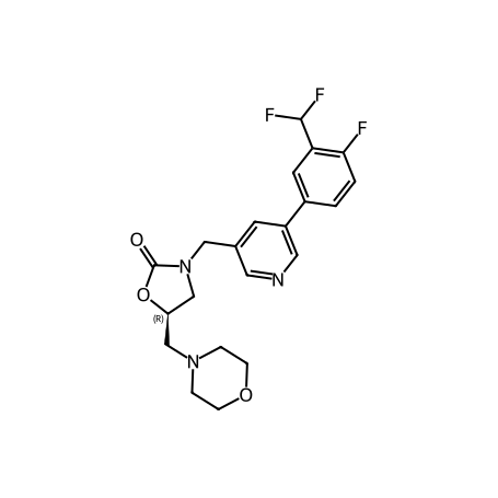 O=C1O[C@H](CN2CCOCC2)CN1Cc1cncc(-c2ccc(F)c(C(F)F)c2)c1